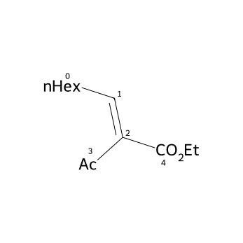 CCCCCC/C=C(\C(C)=O)C(=O)OCC